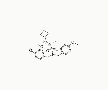 COc1ccc(CN(Cc2ccc(OC)cc2)S(=O)(=O)[C@@H](C)[C@H](OC)C2CCC2)cc1